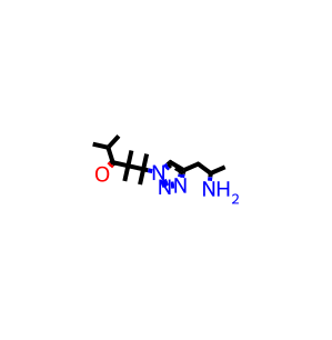 CC(N)Cc1cn(C(C)(C)C(C)(C)C(=O)C(C)C)nn1